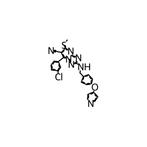 CSc1nc2nc(NCc3ccc(Oc4ccncc4)cc3)nn2c(-c2cccc(Cl)c2)c1C#N